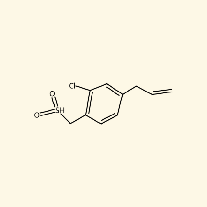 C=CCc1ccc(C[SH](=O)=O)c(Cl)c1